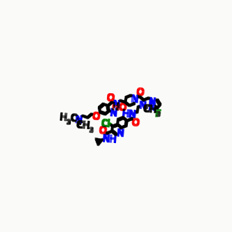 CN(C)CCCOc1ccc2c(=O)n(CC3(O)CCN(C(=O)C(Cn4ccc(F)n4)N(C)CCNC(=O)c4ccc5c(Cl)c(C(=O)NC6CC6)cnc5c4)CC3)cnc2c1